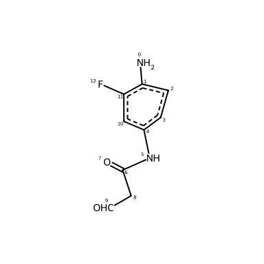 Nc1ccc(NC(=O)CC=O)cc1F